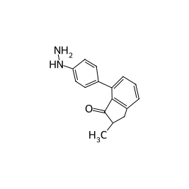 CC1Cc2cccc(-c3ccc(NN)cc3)c2C1=O